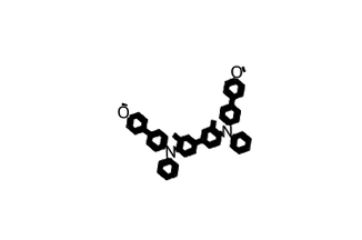 COc1ccc(-c2ccc(N(c3ccccc3)c3ccc(-c4ccc(N(c5ccccc5)c5ccc(-c6ccc(OC)cc6)cc5)c(C)c4)cc3C)cc2)cc1